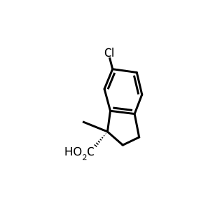 C[C@]1(C(=O)O)CCc2ccc(Cl)cc21